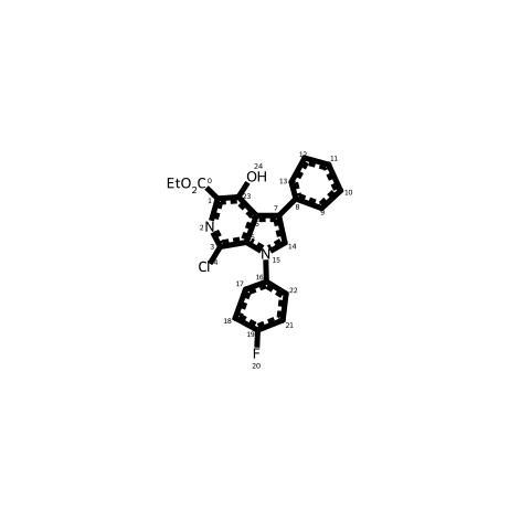 CCOC(=O)c1nc(Cl)c2c(c(-c3ccccc3)cn2-c2ccc(F)cc2)c1O